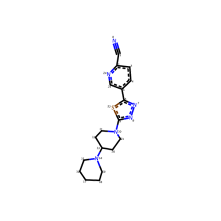 N#Cc1ccc(-c2nnc(N3CCC(N4CCCCC4)CC3)s2)cn1